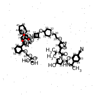 CC(C)[C@@H](C(=O)N1C[C@H](O)C[C@H]1C(=O)N[C@H](C)c1ccc(C#N)cc1)c1cc(OCCN2CCC(OC3CC(Oc4cc(N5C6CCC5CN(c5cc(-c7ccccc7OCOP(=O)(O)O)nnc5N)C6)ccn4)C3)CC2)no1